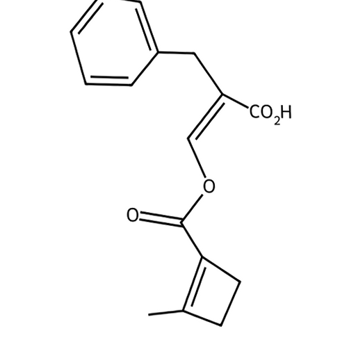 CC1=C(C(=O)OC=C(Cc2ccccc2)C(=O)O)CC1